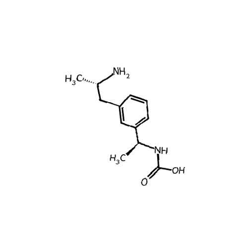 C[C@H](N)Cc1cccc([C@H](C)NC(=O)O)c1